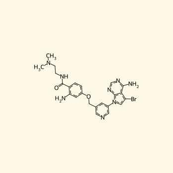 CN(C)CCNC(=O)c1ccc(OCc2cncc(-n3cc(Br)c4c(N)ncnc43)c2)cc1N